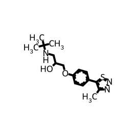 Cc1nnsc1-c1ccc(OCC(O)CNC(C)(C)C)cc1